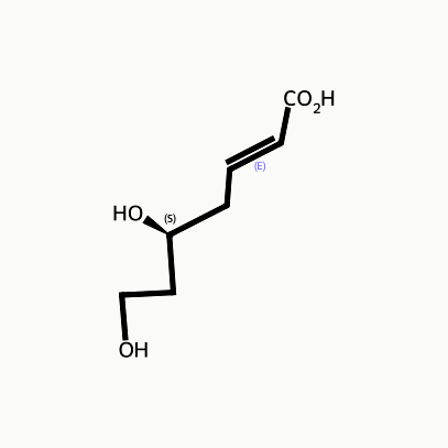 O=C(O)/C=C/C[C@H](O)CCO